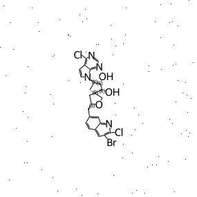 O[C@H]1[C@H](n2ccc3c(Cl)ncnc32)C[C@@]2(CO[C@@H](Cc3ccc4cc(Br)c(Cl)nc4c3)C2)[C@H]1O